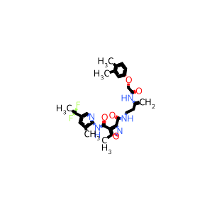 C=C(CCNC(=O)c1noc(C)c1C(=O)Nc1ncc(C(C)(F)F)cc1C)NC(=O)COc1ccc(C)c(C)c1